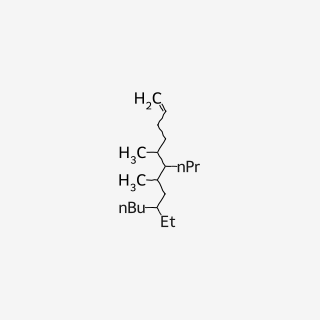 C=CCCC(C)C(CCC)C(C)CC(CC)CCCC